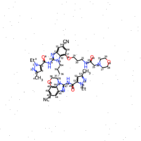 CCn1nc(C)cc1C(=O)Nc1nc2cc(C#N)cc(OCCCNC(=O)CN3CCOCC3)c2n1CCC[C@H]1COc2cc(C#N)cc3nc(NC(=O)c4cc(C)nn4CC)n1c23